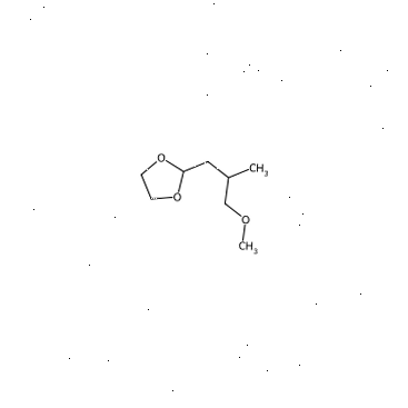 COCC(C)CC1OCCO1